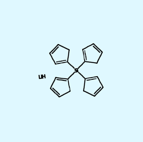 C1=CCC([Si](C2=CC=CC2)(C2=CC=CC2)C2=CC=CC2)=C1.[LiH]